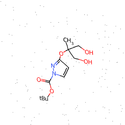 CC(C)(C)OC(=O)n1ccc(OC(C)(CO)CO)n1